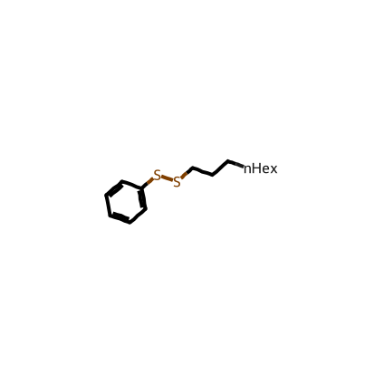 CCCCCCCCCSSc1ccccc1